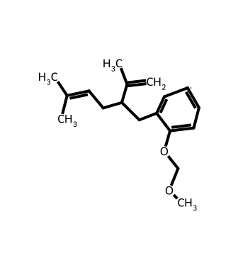 C=C(C)C(CC=C(C)C)Cc1c[c]ccc1OCOC